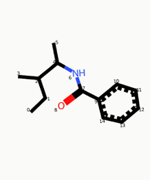 CCC(C)C(C)NC(=O)c1ccccc1